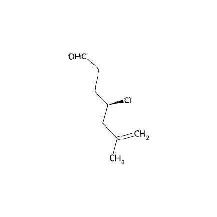 C=C(C)C[C@H](Cl)CCC=O